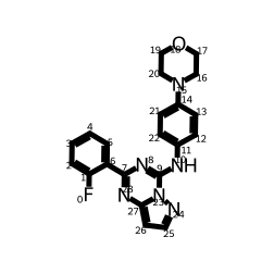 Fc1ccccc1-c1nc(Nc2ccc(N3CCOCC3)cc2)n2nccc2n1